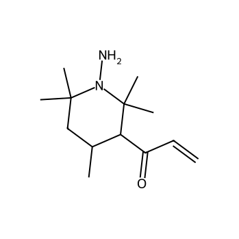 C=CC(=O)C1C(C)CC(C)(C)N(N)C1(C)C